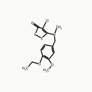 CCOc1ccc(CN(C)c2ssc(=O)c2Cl)cc1OC